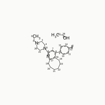 CCN1CCN(c2cc(-c3ccc(F)cc3)c3c(n2)CCCCCC3)CC1.CCO